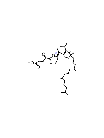 CC/C(OC(=O)C(=O)CCC(=O)O)=C(/C)C1=C(C(C)C)OC(C)(CCCC(C)CCCC(C)CCCC(C)C)CC1